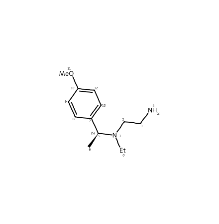 CCN(CCN)[C@@H](C)c1ccc(OC)cc1